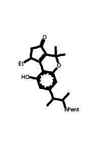 CCCCCC(C)C(C)c1cc(O)c2c(c1)OC(C)(C)C1=C2C(CC)CC1=O